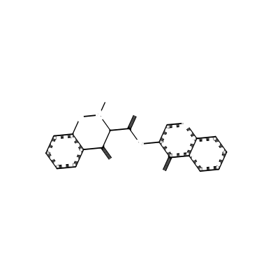 CN1Sc2ccccc2C(=O)C1C(=O)Nc1coc2ccccc2c1=O